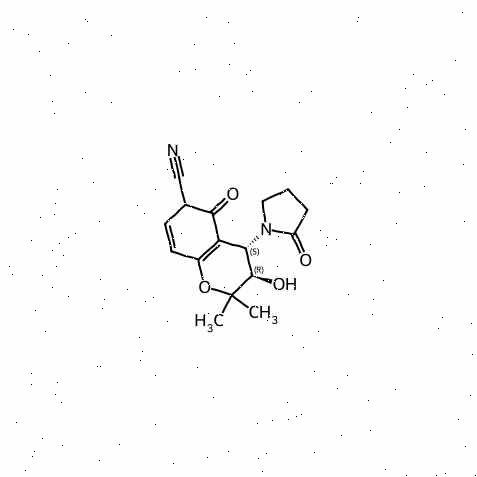 CC1(C)OC2=C(C(=O)C(C#N)C=C2)[C@H](N2CCCC2=O)[C@H]1O